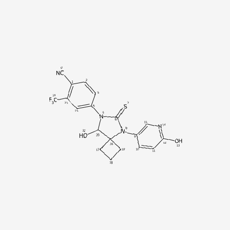 N#Cc1ccc(N2C(=S)N(c3ccc(O)nc3)C3(CCC3)C2O)cc1C(F)(F)F